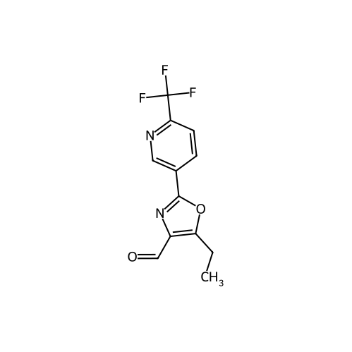 CCc1oc(-c2ccc(C(F)(F)F)nc2)nc1C=O